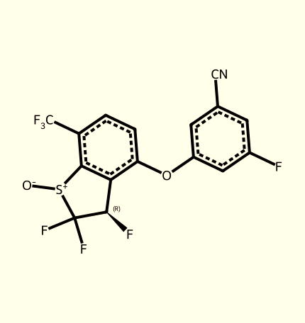 N#Cc1cc(F)cc(Oc2ccc(C(F)(F)F)c3c2[C@@H](F)C(F)(F)[S+]3[O-])c1